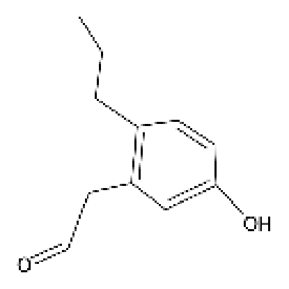 CCCc1ccc(O)cc1CC=O